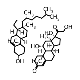 CC(C)CCC[C@@H](C)[C@H]1CC[C@H]2[C@@H]3CC=C4C[C@@H](O)CC[C@]4(C)[C@H]3CC[C@]12C.C[C@]12CCC(=O)C=C1CC[C@@H]1[C@@H]2[C@@H](O)C[C@@]2(C)[C@H]1CC[C@]2(O)C(=O)CO